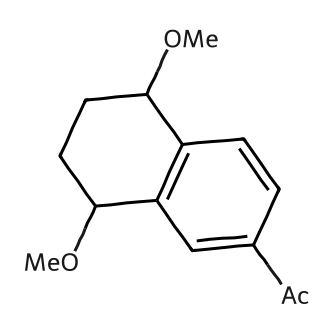 COC1CCC(OC)c2cc(C(C)=O)ccc21